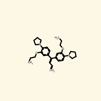 C=CC=C(c1ccc(N2CCCC2)c(OCCC)c1)c1ccc(N2CCCC2)c(OCCC)c1